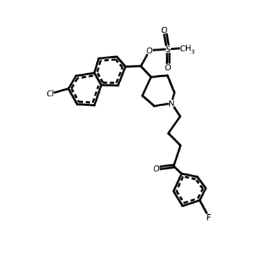 CS(=O)(=O)OC(c1ccc2cc(Cl)ccc2c1)C1CCN(CCCC(=O)c2ccc(F)cc2)CC1